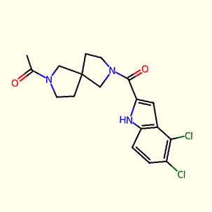 CC(=O)N1CCC2(CCN(C(=O)c3cc4c(Cl)c(Cl)ccc4[nH]3)C2)C1